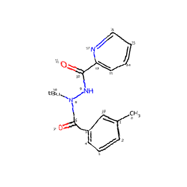 Cc1cccc(C(=O)N(NC(=O)c2ccccn2)C(C)(C)C)c1